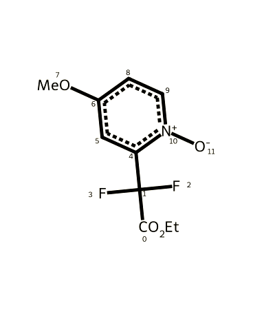 CCOC(=O)C(F)(F)c1cc(OC)cc[n+]1[O-]